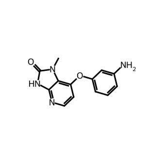 Cn1c(=O)[nH]c2nccc(Oc3cccc(N)c3)c21